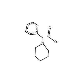 [O]C=O.c1ccc(CN2CCCCC2)cc1